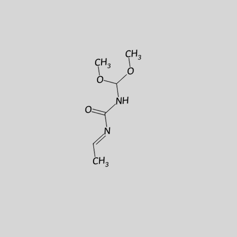 CC=NC(=O)NC(OC)OC